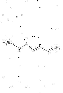 C=CC=CCO[SiH3]